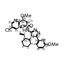 C=C[C@@H]1CCCC[C@@H]1n1c(NS(=O)(=O)[C@@H](C)[C@H](OC)c2ncc(Cl)cn2)nnc1-c1cccc(OC)n1